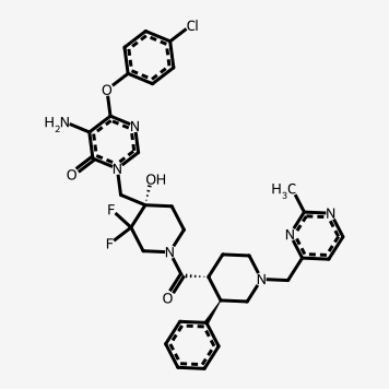 Cc1nccc(CN2CC[C@@H](C(=O)N3CC[C@](O)(Cn4cnc(Oc5ccc(Cl)cc5)c(N)c4=O)C(F)(F)C3)[C@H](c3ccccc3)C2)n1